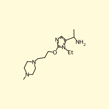 CCn1c(C(C)N)cnc1OCCCN1CCN(C)CC1